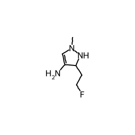 CN1C=C(N)C(CCF)N1